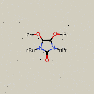 CCCCN1C(=O)N(CCC)C(OC(C)C)C1OC(C)C